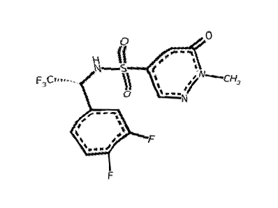 Cn1ncc(S(=O)(=O)N[C@H](c2ccc(F)c(F)c2)C(F)(F)F)cc1=O